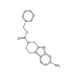 Nc1ccc2c(c1)nc1n2CCN(C(=O)OCc2ccccc2)C1